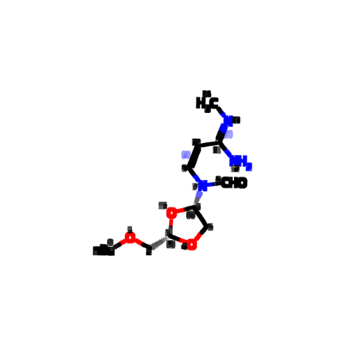 CCCCOC[C@H]1OC[C@@H](N(C=O)/C=C\C(N)=N/C)O1